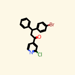 O=C(CC(c1ccccc1)c1ccc(Br)cc1)c1ccnc(Cl)c1